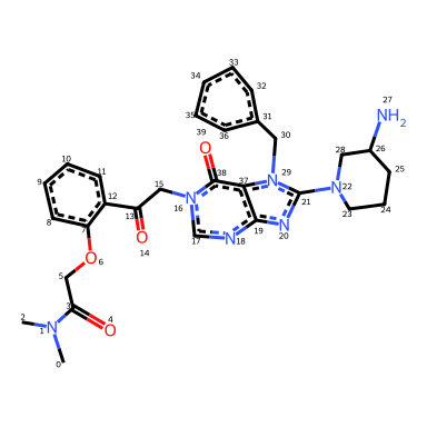 CN(C)C(=O)COc1ccccc1C(=O)Cn1cnc2nc(N3CCCC(N)C3)n(Cc3ccccc3)c2c1=O